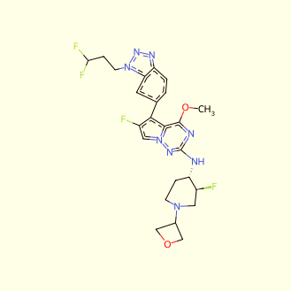 COc1nc(N[C@H]2CCN(C3COC3)C[C@@H]2F)nn2cc(F)c(-c3ccc4nnn(CCC(F)F)c4c3)c12